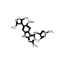 COc1cc2c(cc1-c1c(C)noc1C)[nH]c1nc(C)nc(Nc3cn(C)nc3C(F)(F)F)c12